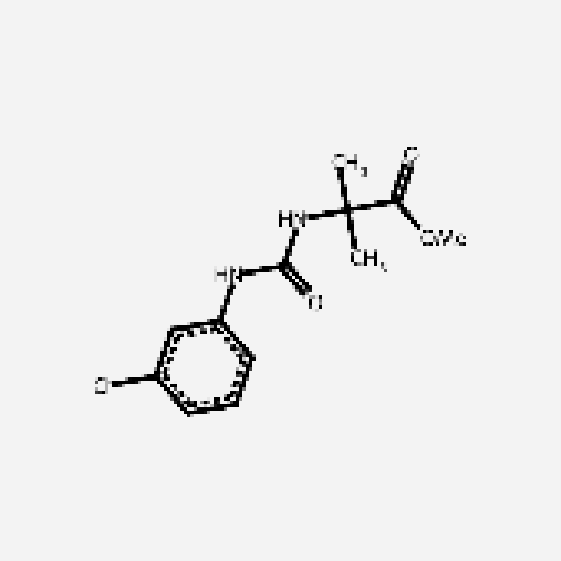 COC(=O)C(C)(C)NC(=O)Nc1cccc(Cl)c1